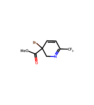 COC(=O)C1(Br)C=CC(C(F)(F)F)=NC1